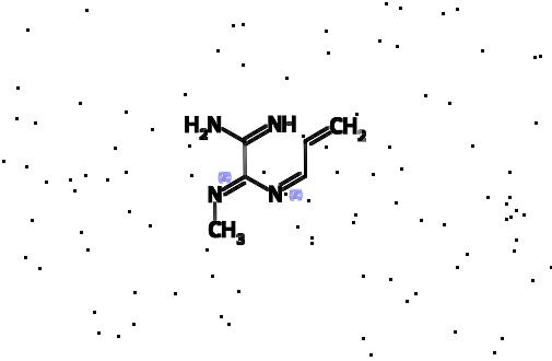 C=C/C=N\C(=N/C)C(=N)N